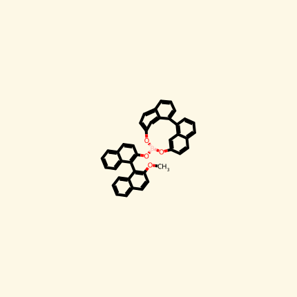 COc1ccc2ccccc2c1-c1c(OB2Oc3ccc4cccc(c4c3)-c3cccc4ccc(cc34)O2)ccc2ccccc12